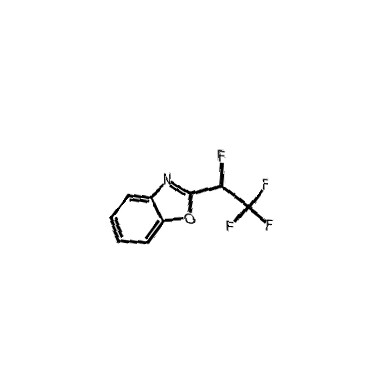 FC(c1nc2ccccc2o1)C(F)(F)F